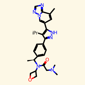 Cc1cc(-c2[nH]nc(-c3ccc([C@H](C)N(C(=O)CN(C)C)C4COC4)cc3)c2C(C)C)cn2ncnc12